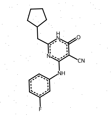 N#Cc1c(Nc2cccc(F)c2)nc(CC2CCCC2)[nH]c1=O